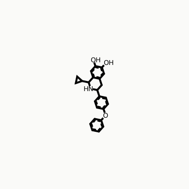 Oc1cc2c(cc1O)C(C1CC1)NC(c1ccc(Oc3ccccc3)cc1)C2